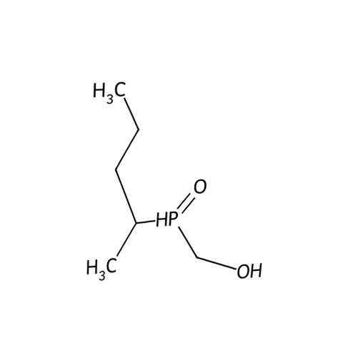 CCCC(C)[PH](=O)CO